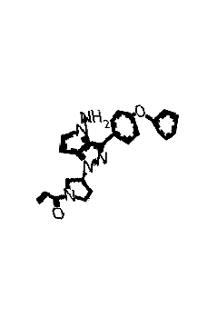 C=CC(=O)N1CC[C@H](n2nc(-c3ccc(Oc4ccccc4)cc3)c3c2ccn3N)C1